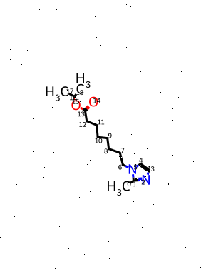 Cc1n[c]cn1CCCCCCCC(=O)OC(C)C